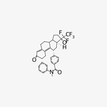 CN(C(=O)c1ccc([C@H]2C[C@@]3(C)C(CC[C@]3(O)C(F)(F)C(F)(F)F)C3CCC4=CC(=O)CCC4=C32)cc1)c1ccccc1